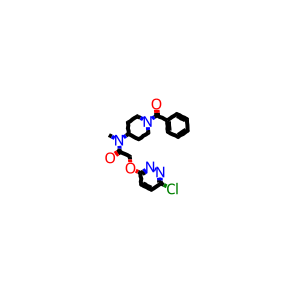 CN(C(=O)COc1ccc(Cl)nn1)C1CCN(C(=O)c2ccccc2)CC1